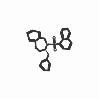 O=S(=O)(c1cccc2cccnc12)N1Cc2ccccc2SC[C@H]1Cc1ccccc1